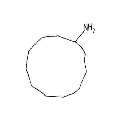 NC1CCCCCCCCCC1